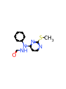 CSc1nccc(N(NC=O)c2ccccc2)n1